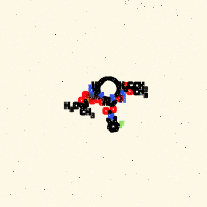 Cc1cc(S(=O)(=O)NC(=O)[C@@]23C[C@H]2/C=C\CCCCC[C@H](NC(=O)OC(C)(C)C)C(=O)N2C[C@H](OC(=O)N4Cc5cccc(F)c5C4)C[C@H]2C(=O)N3)oc1C